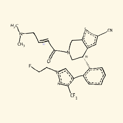 CN(C)C/C=C/C(=O)N1Cc2sc(C#N)cc2[C@H](c2ccccc2-c2cn(CCF)nc2C(F)(F)F)C1